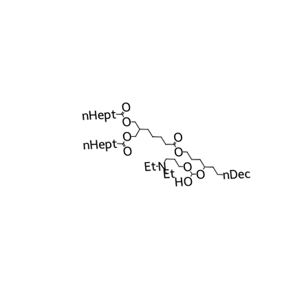 CCCCCCCCCCCCC(CCCOC(=O)CCCCC(COC(=O)CCCCCCC)COC(=O)CCCCCCC)OC(O)OCCCN(CC)CC